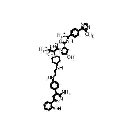 Cc1ncsc1-c1ccc([C@H](C)NC(=O)[C@@H]2C[C@@H](O)CN2C(=O)C(N2CCC(NCCNc3ccc(-c4cc(-c5ccccc5O)nnc4N)cc3)CC2)C(C)(C)C)cc1